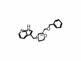 c1ccc(COC[C@@H]2CN(Cc3c[nH]c4ncccc34)CCO2)cc1